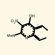 C/C=c1/nc(NC)c([N+](=O)[O-])c(O)/c1=C/C